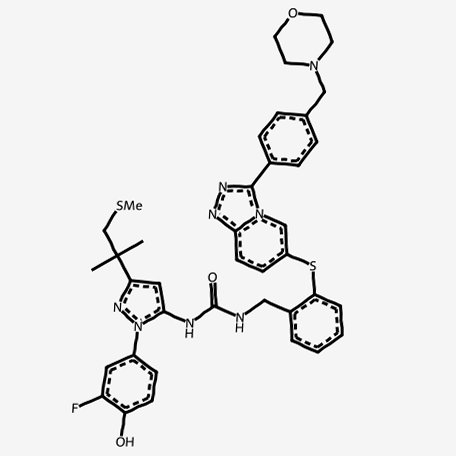 CSCC(C)(C)c1cc(NC(=O)NCc2ccccc2Sc2ccc3nnc(-c4ccc(CN5CCOCC5)cc4)n3c2)n(-c2ccc(O)c(F)c2)n1